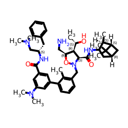 Cc1c(CN2O[C@@H](CN)[C@@H]([C@H](C)O)[C@H]2C(=O)NC2C[C@H]3C[C@@H]([C@@H]2C)C3(C)C)cccc1-c1cc(C(=O)N[C@@H](Cc2ccccc2)CN(C)C)cc(N(C)C)c1